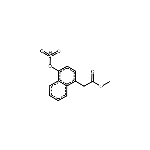 COC(=O)Cc1ccc(O[SH](=O)=O)c2ccccc12